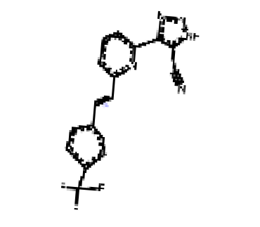 N#Cc1[nH]nnc1-c1cccc(/C=C/c2ccc(C(F)(F)F)cc2)n1